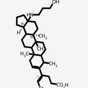 CC/C=C(\CCC(=O)O)C1=CCC2(C)C(CCC3(C)C2CCC2[C@H]4CCCC4(NCCCO)CC[C@]23C)C1C